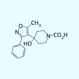 Cc1onc(-c2ccccc2)c1C1(O)CCN(C(=O)O)CC1